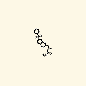 CN(CC(N)=O)C[C@H]1CCc2ccc(S(=O)(=O)c3ccccc3)cc2O1